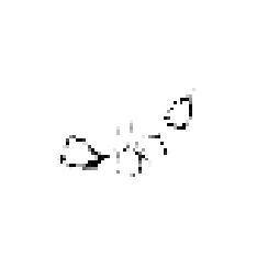 CCCO[C@]1(c2ccccc2)COCC2(C1)N[C@@H](c1ccc(F)cc1)CO2